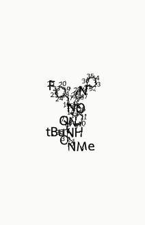 CNCC(=O)NC(C(=O)N1C#CCCC1CN(CCc1ccc(F)cc1)C(=O)c1ccn(-c2ccccc2)c1)C(C)(C)C